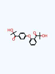 CC(C)(O)C(=O)c1ccc(Oc2ccccc2C(=O)C(C)(C)O)cc1